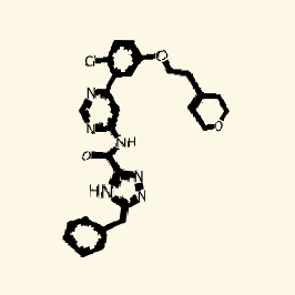 O=C(Nc1cc(-c2cc(OCCC3CCOCC3)ccc2Cl)ncn1)c1nnc(Cc2ccccc2)[nH]1